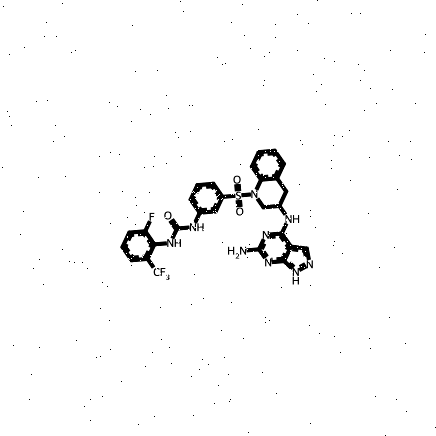 Nc1nc(NC2Cc3ccccc3N(S(=O)(=O)c3cccc(NC(=O)Nc4c(F)cccc4C(F)(F)F)c3)C2)c2cn[nH]c2n1